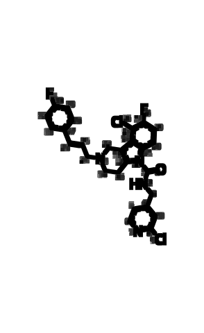 O=C(NCc1ccnc(Cl)c1)n1c2c(c3c(Cl)c(F)ccc31)CN(CC=Cc1ccc(F)cc1)CC2